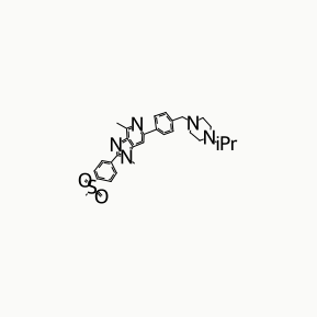 Cc1nc(-c2ccc(CN3CCN(C(C)C)CC3)cc2)cc2c1nc(-c1ccc(S(C)(=O)=O)cc1)n2C